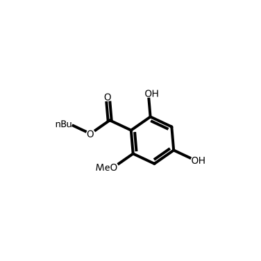 CCCCOC(=O)c1c(O)cc(O)cc1OC